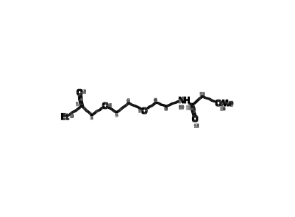 CCC(=O)COCCOCCNC(=O)COC